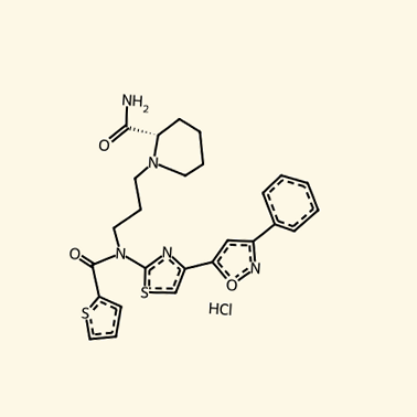 Cl.NC(=O)[C@@H]1CCCCN1CCCN(C(=O)c1cccs1)c1nc(-c2cc(-c3ccccc3)no2)cs1